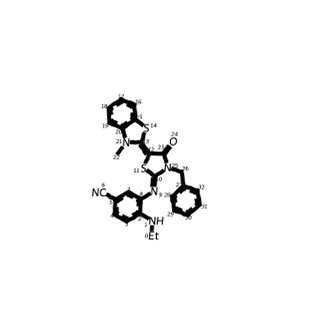 CCNc1ccc(C#N)cc1N=C1SC(=C2Sc3ccccc3N2C)C(=O)N1Cc1ccccc1